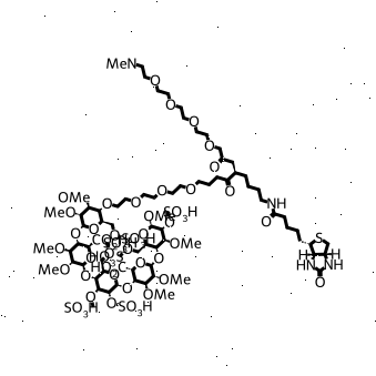 CNCCOCCOCCOCCOCC(=O)C[C@@H](CCCCNC(=O)CCCC[C@@H]1SC[C@@H]2NC(=O)N[C@@H]21)C(=O)CCCOCCOCCOCCO[C@H]1[C@H](OC)[C@@H](OC)[C@@H](O[C@H]2[C@H](OC)[C@@H](OC)[C@H](O[C@H]3[C@H](OS(=O)(=O)O)[C@@H](OS(=O)(=O)O)[C@@H](O[C@H]4[C@H](OC)[C@@H](OC)[C@H](O[C@H]5[C@H](OC)[C@@H](OS(=O)(=O)O)[C@@H](OC)O[C@@H]5COS(=O)(=O)O)O[C@H]4C(=O)O)O[C@@H]3COS(=O)(=O)O)O[C@@H]2C(=O)O)O[C@@H]1COS(=O)(=O)O